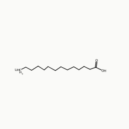 CCCCCCCCCCCCCC(=O)O.[LiH]